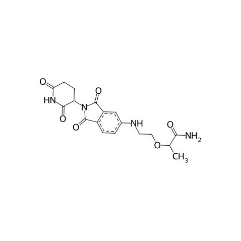 CC(OCCNc1ccc2c(c1)C(=O)N(C1CCC(=O)NC1=O)C2=O)C(N)=O